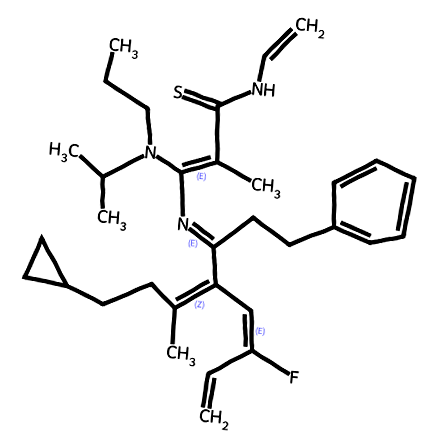 C=CNC(=S)/C(C)=C(/N=C(CCc1ccccc1)/C(/C=C(/F)C=C)=C(/C)CCC1CC1)N(CCC)C(C)C